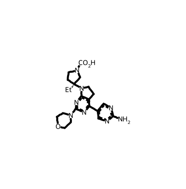 CC[C@]1(N2CCc3c(-c4cnc(N)nc4)nc(N4CCOCC4)nc32)CCN(C(=O)O)C1